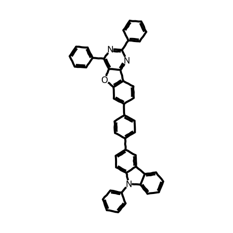 c1ccc(-c2nc(-c3ccccc3)c3oc4cc(-c5ccc(-c6ccc7c(c6)c6ccccc6n7-c6ccccc6)cc5)ccc4c3n2)cc1